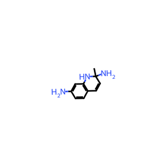 CC1(N)C=Cc2ccc(N)cc2N1